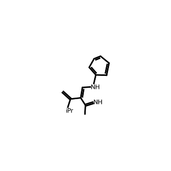 C=C(/C(=C/Nc1ccccc1)C(C)=N)C(C)C